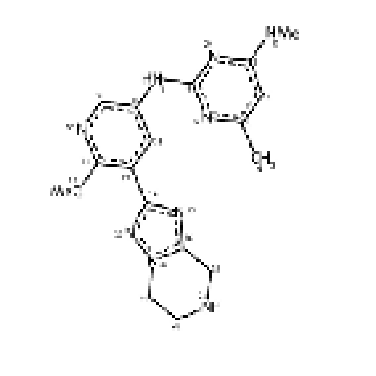 CNc1cc(C)nc(Nc2cnc(OC)c(-c3nc4n(n3)CCNC4)c2)n1